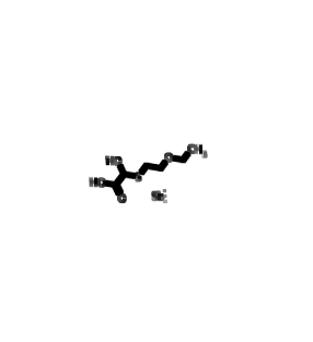 CCOCCSC(O)C(=O)O.[Sb]